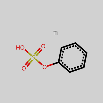 O=S(=O)(O)Oc1ccccc1.[Ti]